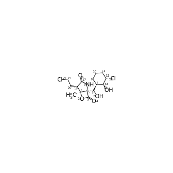 C[C@@]12OC(=O)[C@]1(C(O)[C@H]1CCC[C@H](Cl)[C@H]1O)NC(=O)[C@@H]2CCCl